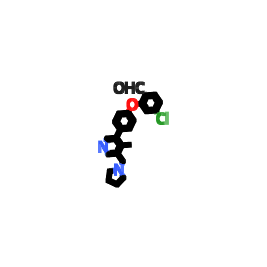 Cc1c(CN2CCCC2)cncc1-c1ccc(Oc2cc(Cl)ccc2C=O)cc1